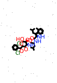 Cc1cccc2[nH]c(C(=O)N[C@@H](CC(C)C)C(=O)NC(C(=O)CC(=O)c3c(Cl)cccc3Cl)C(=O)C(=O)O)c(CC(C)C)c12